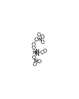 c1ccc(-c2ccc(-c3ccc4ccc(-c5nc(-c6cccc(-n7c8ccccc8c8ccccc87)c6)nc(-c6ccc7ccccc7c6)n5)cc4c3)cc2-n2c3ccccc3c3ccccc32)cc1